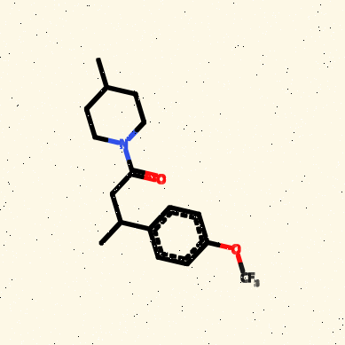 CC1CCN(C(=O)CC(C)c2ccc(OC(F)(F)F)cc2)CC1